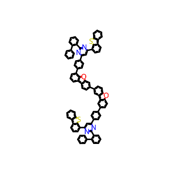 c1ccc(-c2ccccc2-c2nc(-c3ccc(-c4ccc5oc6ccc(-c7ccc8c(c7)oc7c(-c9ccc(-c%10cc(-c%11cccc%12c%11sc%11ccccc%11%12)nc(-c%11ccccc%11-c%11ccccc%11)n%10)cc9)cccc78)cc6c5c4)cc3)cc(-c3cccc4c3sc3ccccc34)n2)cc1